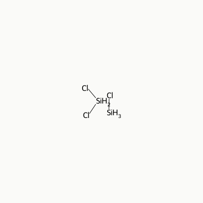 Cl[SiH2]Cl.[SiH3]Cl